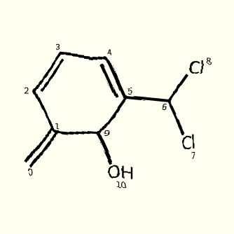 C=C1C=CC=C(C(Cl)Cl)C1O